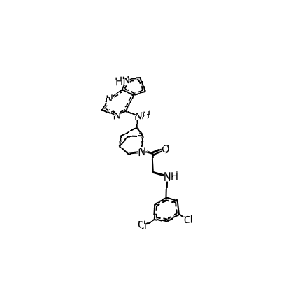 O=C(CNc1cc(Cl)cc(Cl)c1)N1CC2CC(Nc3ncnc4[nH]ccc34)C1C2